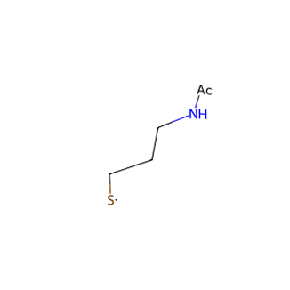 CC(=O)NCCC[S]